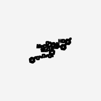 COC(=O)[C@@H](OC(C)(C)C)c1c(C)cc2nc(-c3cccc(-c4ccc(C)cc4O)c3)cn2c1N1CCC(C)(OCCOCCOCc2ccccc2)CC1